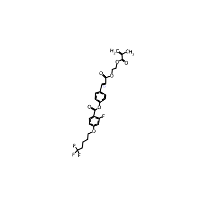 C=C(C)C(=O)OCCOC(=O)/C=C/c1ccc(OC(=O)c2ccc(OCCCCC(F)(F)F)cc2F)cc1